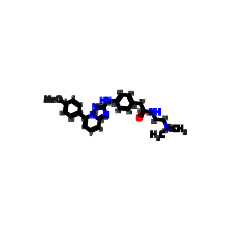 COc1ccc(-c2cccc3nc(Nc4ccc(CC(=O)NCCN(C)C)cc4)nn23)cc1